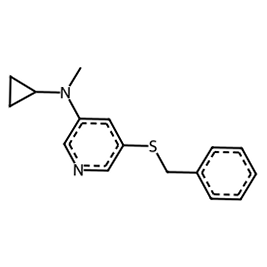 CN(c1cncc(SCc2ccccc2)c1)C1CC1